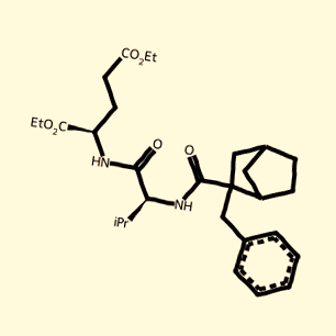 CCOC(=O)CC[C@@H](NC(=O)[C@@H](NC(=O)C1(Cc2ccccc2)CC2CCC1C2)C(C)C)C(=O)OCC